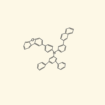 c1ccc(-c2cc(-c3ccccc3)cc(N(c3ccc(-c4ccc5oc6ccccc6c5c4)cc3)c3cccc(-c4ccc5ccccc5c4)c3)c2)cc1